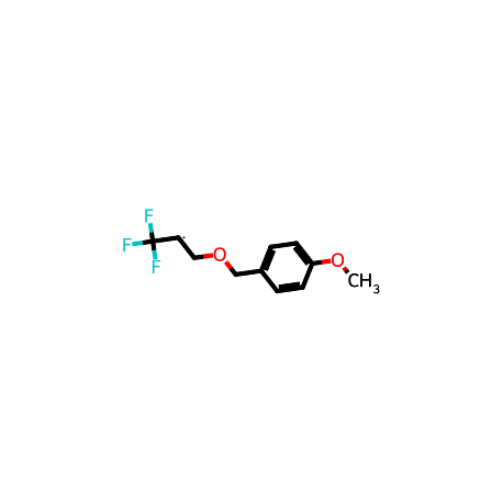 COc1ccc(COC[CH]C(F)(F)F)cc1